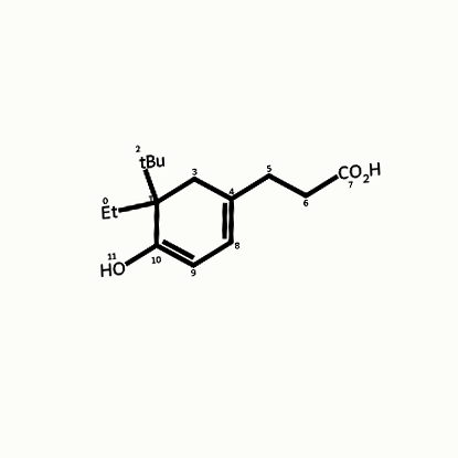 CCC1(C(C)(C)C)CC(CCC(=O)O)=CC=C1O